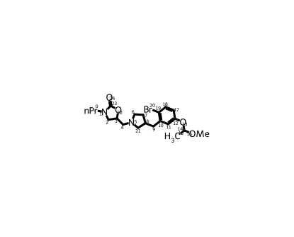 CCCN1CC(CN2CCC(Cc3cc(OC(C)OC)ccc3Br)C2)OC1=O